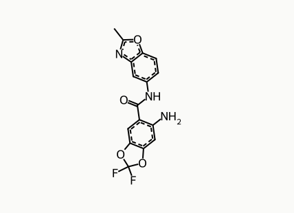 Cc1nc2cc(NC(=O)c3cc4c(cc3N)OC(F)(F)O4)ccc2o1